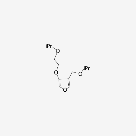 CC(C)OCCOc1cocc1COC(C)C